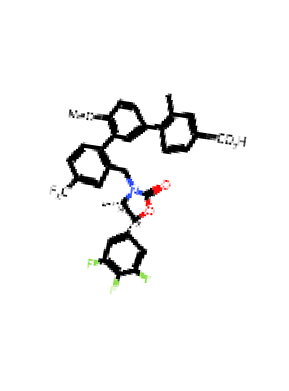 COc1ccc(-c2ccc(C(=O)O)cc2C)cc1-c1ccc(C(F)(F)F)cc1CN1C(=O)O[C@H](c2cc(F)c(F)c(F)c2)[C@@H]1C